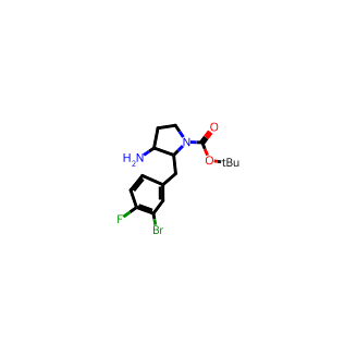 CC(C)(C)OC(=O)N1CCC(N)C1Cc1ccc(F)c(Br)c1